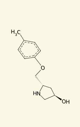 Cc1ccc(OC[C@@H]2C[C@@H](O)CN2)cc1